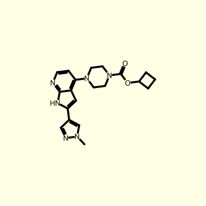 Cn1cc(-c2cc3c(N4CCN(C(=O)OC5CCC5)CC4)ccnc3[nH]2)cn1